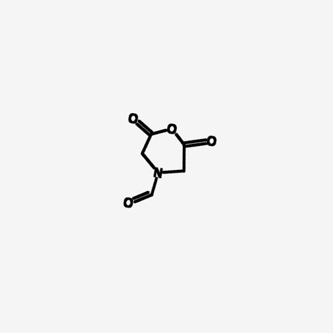 O=CN1CC(=O)OC(=O)C1